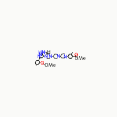 COCOc1ccccc1-c1cc2c(nn1)NC[C@H]1CN(C3CCN(C4CCN(c5ccc(C(=O)OC)c(C)c5)CC4)CC3)CCN21